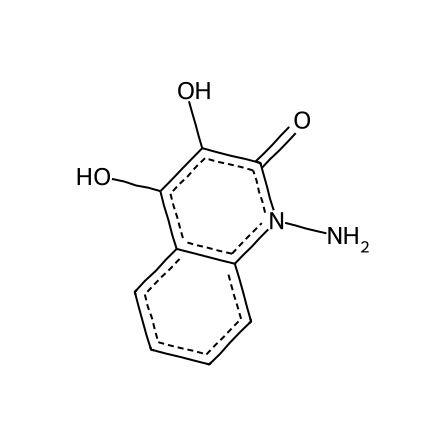 Nn1c(=O)c(O)c(O)c2ccccc21